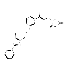 C/C(=C\Cn1oc(=O)[nH]c1=O)c1cccc(OCCc2nc(-c3ccccc3)oc2C)c1